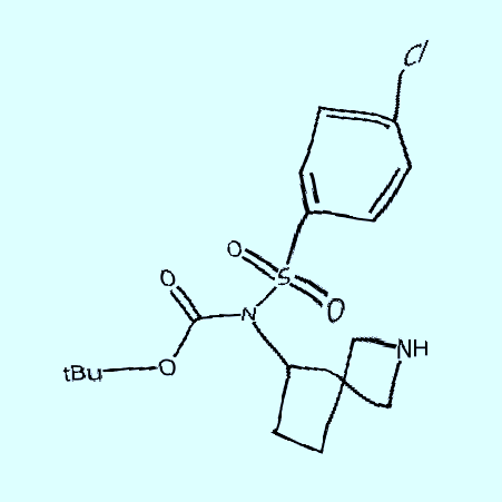 CC(C)(C)OC(=O)N(C1CCC12CNC2)S(=O)(=O)c1ccc(Cl)cc1